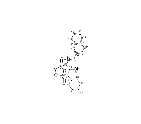 CN1CCN([C@H]2[C@@H]3OC[C@@H](O3)[C@@H](NCc3cnc4ccccc4c3)[C@@H]2O)CC1